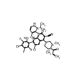 C=CC(=O)N1[C@H](C)CN(c2c(C#N)c(=O)n(C3=C(C)C=CN[C@@H]3C(C)C)c3nc(-c4c(O)c(F)c(Cl)c(F)c4F)c(Cl)cc23)C[C@@H]1C